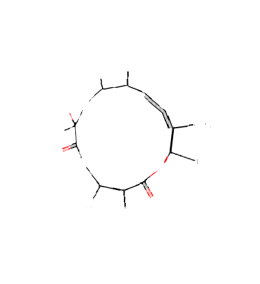 CCC1OC(=O)C(C)C(C)CC(=O)C(C)(O)CC(C)C(C)C=C=C1C